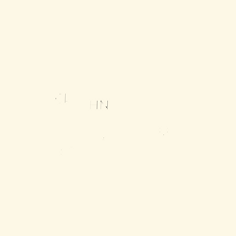 C1COCCN1.ClCCl